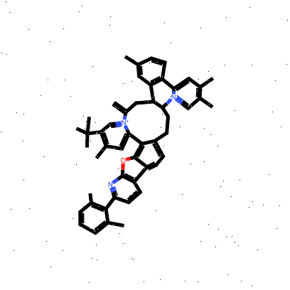 C=C1CC2c3cc(C)ccc3-c3cc(C)c(C)c[n+]3C2CCc2ccc3c(oc4nc(-c5c(C)cccc5C)ccc43)c2-c2cc(C)c(C(C)(C)C)c[n+]21